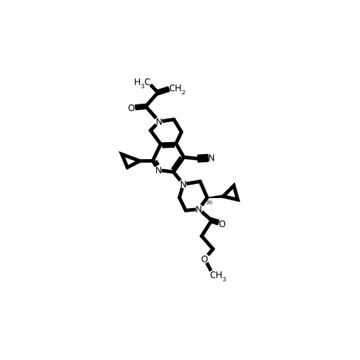 C=C(C)C(=O)N1CCc2c(C#N)c(N3CCN(C(=O)CCOC)[C@H](C4CC4)C3)nc(C3CC3)c2C1